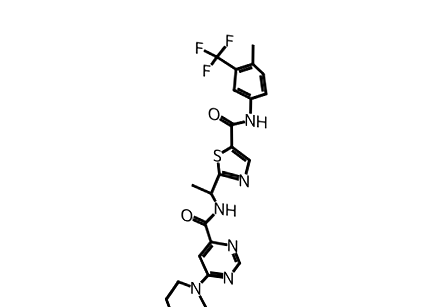 Cc1ccc(NC(=O)c2cnc(C(C)NC(=O)c3cc(N4CCOCC4)ncn3)s2)cc1C(F)(F)F